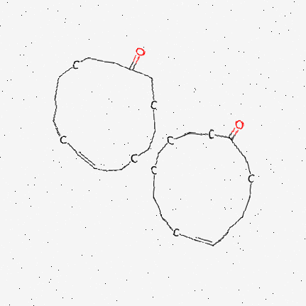 O=C1CCCCCC=CCCCCCCCC1.O=C1CCCCCCC=CCCCCCCC1